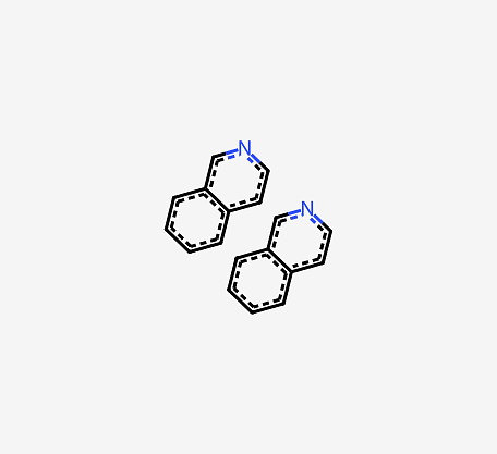 c1ccc2cnccc2c1.c1ccc2cnccc2c1